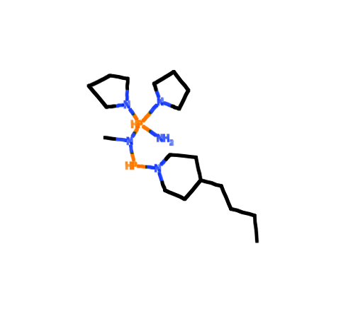 CCCCC1CCN(PN(C)[PH](N)(N2CCCC2)N2CCCC2)CC1